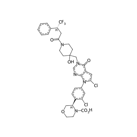 O=C(C[C@H](c1ccccc1)C(F)(F)F)N1CCC(O)(Cn2cnc3c(cc(Cl)n3-c3ccc([C@@H]4COCCN4C(=O)O)c(Cl)c3)c2=O)CC1